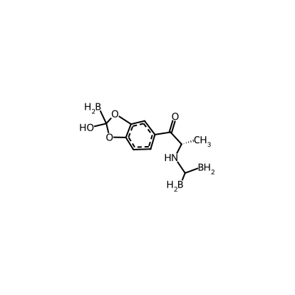 BC(B)N[C@@H](C)C(=O)c1ccc2c(c1)OC(B)(O)O2